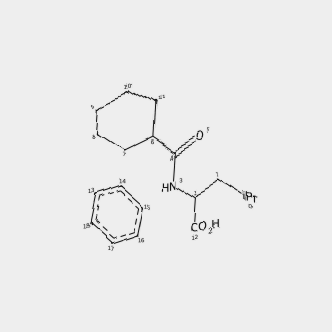 CC(C)CC(NC(=O)C1CCCCC1)C(=O)O.c1ccccc1